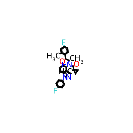 Cc1cc(F)ccc1C(Oc1ccc2c(cnn2-c2ccc(F)cc2)c1)[C@H](C)NC(=O)C1(C)CC1